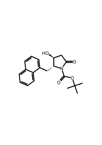 CC(C)(C)OC(=O)N1C(=O)C[C@H](O)[C@H]1Cc1cccc2ccccc12